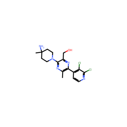 Cc1nc(N2CCC(C)(N)CC2)c(CO)nc1-c1ccnc(Cl)c1Cl